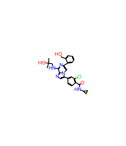 CC(C)(O)CNc1nc(-c2ccccc2CO)cn2c(-c3ccc(C(=O)NC4CC4)c(Cl)c3)cnc12